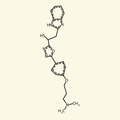 CN(C)CCCOc1ccc(-c2nnc(C(S)Cc3nc4ccccc4[nH]3)o2)cc1